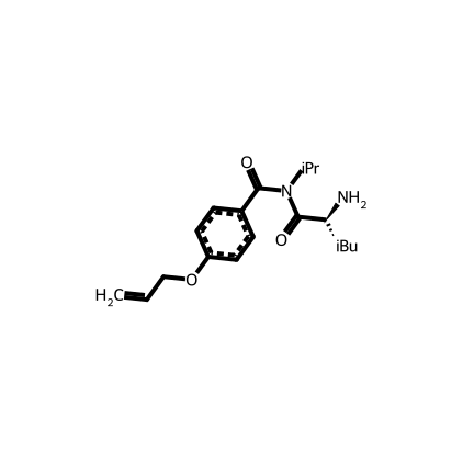 C=CCOc1ccc(C(=O)N(C(=O)[C@@H](N)[C@@H](C)CC)C(C)C)cc1